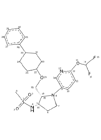 CS(=O)(=O)N[C@H]1CCN(c2ccc(OC(F)F)nc2)[C@H]1COC1CCC(c2ccccc2)CC1